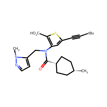 Cn1nccc1CN(c1cc(C#CC(C)(C)C)sc1C(=O)O)C(=O)[C@H]1CC[C@@H](C)CC1